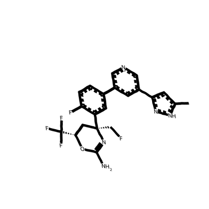 Cc1cc(-c2cncc(-c3ccc(F)c([C@]4(CF)C[C@@H](C(F)(F)F)OC(N)=N4)c3)c2)n[nH]1